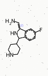 N/C=C1\NC(C2CCNCC2)c2ccc(F)cc21